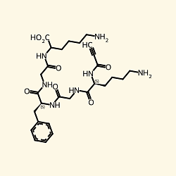 C#CC(=O)N[C@@H](CCCCN)C(=O)NCC(=O)N[C@@H](Cc1ccccc1)C(=O)NCC(=O)NC(CCCCN)C(=O)O